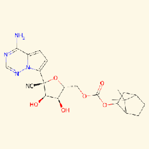 CC1(C)C2CCC1C(OC(=O)OC[C@H]1O[C@@](C#N)(c3ccc4c(N)ncnn34)[C@H](O)[C@@H]1O)C2